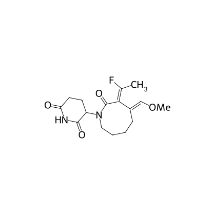 CO/C=C1\CCCCN(C2CCC(=O)NC2=O)C(=O)\C1=C(\C)F